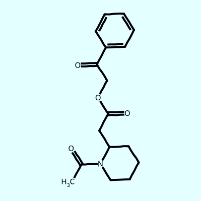 CC(=O)N1CCCCC1CC(=O)OCC(=O)c1ccccc1